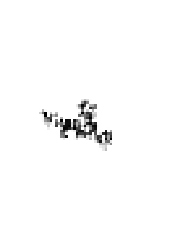 CN(C)CCNC(=O)c1cn2cc(-c3cccnc3)nc(N3CCOCC3)c2n1